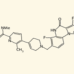 CNC(=O)c1ccc(C2=CCN(Cc3ccc4c([nH]c(=O)c5c(F)ccn54)c3F)CC2)c(C)n1